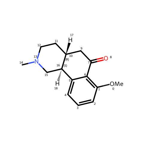 COc1cccc2c1C(=O)C[C@H]1CCN(C)C[C@H]21